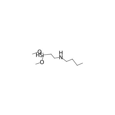 CCCCNCC[SiH](OC)OC